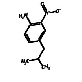 CC(C)Cc1ccc(N)c([N+](=O)[O-])c1